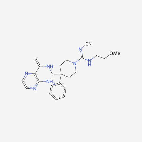 C=C(NCC1(c2ccccc2)CCN(/C(=N/C#N)NCCOC)CC1)c1nccnc1N